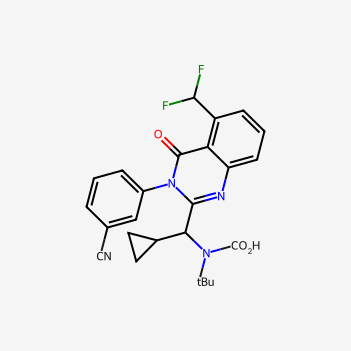 CC(C)(C)N(C(=O)O)C(c1nc2cccc(C(F)F)c2c(=O)n1-c1cccc(C#N)c1)C1CC1